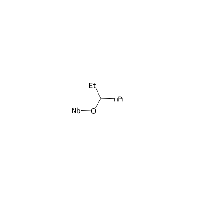 CCCC(CC)[O][Nb]